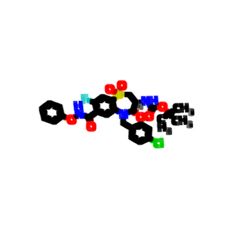 CC(C)(C)OC(=O)N[C@H]1CS(=O)(=O)c2cc(F)c(C(=O)NOc3ccccc3)cc2N(Cc2ccc(Cl)cc2)C1=O